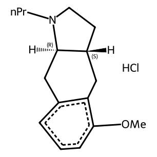 CCCN1CC[C@@H]2Cc3c(cccc3OC)C[C@H]21.Cl